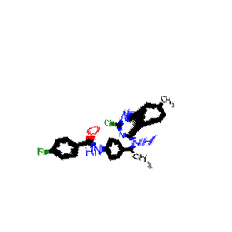 Cc1ccc2c(N[C@@H](C)c3ccc(NC(=O)c4ccc(F)cc4)cc3)nc(Cl)nc2c1